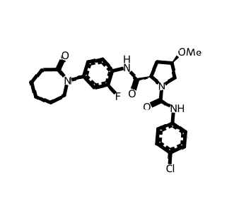 CO[C@@H]1C[C@H](C(=O)Nc2ccc(N3CCCCCC3=O)cc2F)N(C(=O)Nc2ccc(Cl)cc2)C1